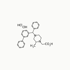 CC1CN(C(c2ccccc2)c2cccc(-c3ccccc3)c2)CCN1CC(=O)O.Cl.Cl